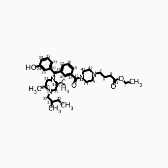 CCOC(=O)CCCN1CCN(C(=O)c2cccc([C@H](c3cccc(O)c3)N3C[C@@H](C)N(CC(C)CC)C[C@@H]3C)c2)CC1